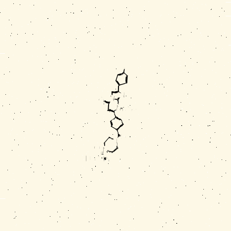 CCCCCn1c(-c2ccc(C(=O)N3CCN(S(C)(=O)=O)CC3)cc2)cc(=O)n2cc(-c3ccc(Cl)cc3)nc12